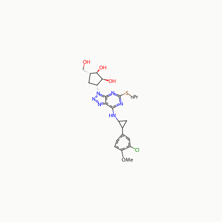 CCCSc1nc(NC2CC2c2ccc(OC)c(Cl)c2)c2nnn([C@@H]3C[C@H](CO)[C@@H](O)[C@H]3O)c2n1